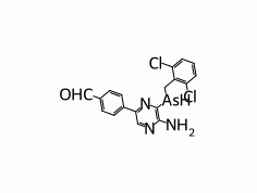 Nc1ncc(-c2ccc(C=O)cc2)nc1[AsH]Cc1c(Cl)cccc1Cl